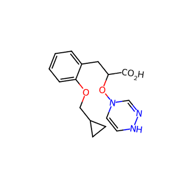 O=C(O)C(Cc1ccccc1OCC1CC1)ON1C=CNN=C1